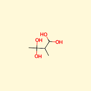 CC([C](O)O)C(C)(O)O